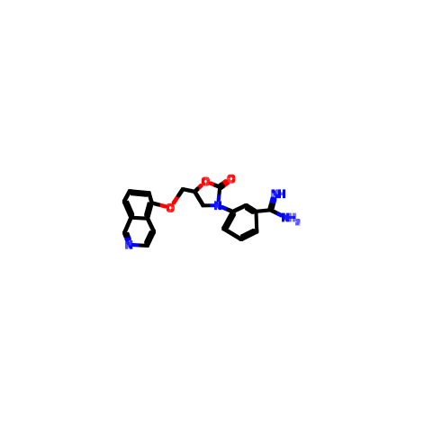 N=C(N)c1cccc(N2CC(COc3cccc4cnccc34)OC2=O)c1